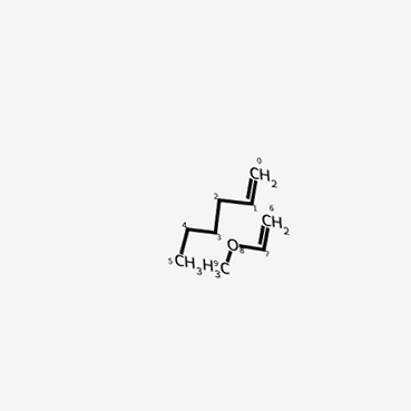 C=CCCCC.C=COC